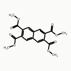 COC(=O)c1cc2cc(C(=O)OC)c(C(=O)OC)cc2cc1C(=O)OC